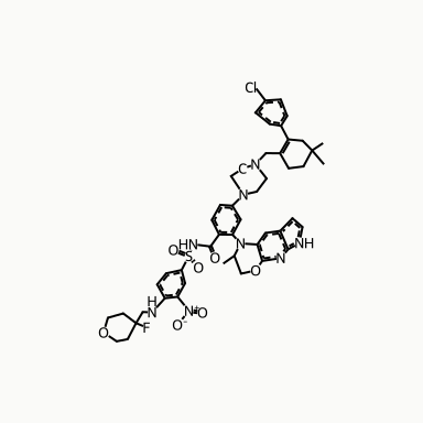 CC1COc2nc3[nH]ccc3cc2N1c1cc(N2CCN(CC3=C(c4ccc(Cl)cc4)CC(C)(C)CC3)CC2)ccc1C(=O)NS(=O)(=O)c1ccc(NCC2(F)CCOCC2)c([N+](=O)[O-])c1